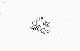 COc1ccc(Cl)cc1S(=O)(=O)[N-]c1cnc2c(c1)-c1nnc(C)n1CCO2.[K+]